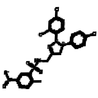 Cc1ccc([N+](=O)[O-])cc1S(=O)(=O)NCC1=NN(c2ccc(Cl)cc2Cl)[C@@H](c2ccc(Cl)cc2)C1